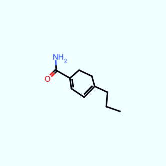 CCCC1=CC=C(C(N)=O)CC1